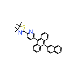 CC1(C)N=C(c2ccc(-c3c4ccccc4c(-c4ccc5ccccc5c4)c4ccccc34)cn2)SC1(C)C